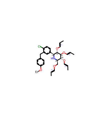 C/C=C/OC[C@H]1N[C@@H](c2ccc(Cl)c(Cc3ccc(OCC)cc3)c2)[C@H](O/C=C/C)[C@@H](O/C=C/C)[C@@H]1O/C=C/C